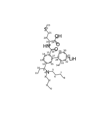 CCCCN(CCCC)C(CC)c1ccc(C(=O)NC(CCSC)C(=O)O)c(-c2ccccc2C)c1.[LiH]